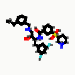 CCc1cccc(CNC[C@H](O)[C@H](Cc2cc(F)cc(F)c2)NC(=O)c2cccc(S(=O)(=O)C3CCCNC3)c2)c1